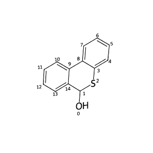 OC1Sc2ccccc2-c2ccccc21